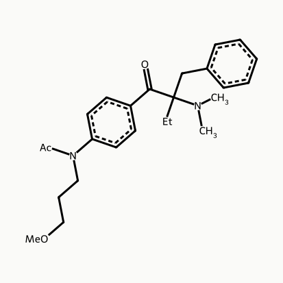 CCC(Cc1ccccc1)(C(=O)c1ccc(N(CCCOC)C(C)=O)cc1)N(C)C